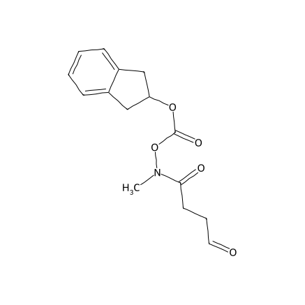 CN(OC(=O)OC1Cc2ccccc2C1)C(=O)CCC=O